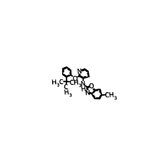 Cc1ccc2nc(Nc3cccnc3Oc3ccccc3C(C)(C)C)oc2c1